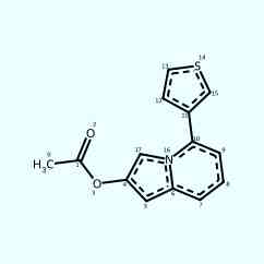 CC(=O)Oc1cc2cccc(-c3ccsc3)n2c1